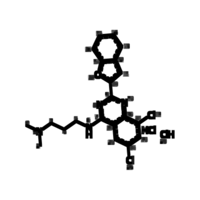 CN(C)CCCNc1nc(-c2cc3ccccc3o2)nc2c(Cl)cc(Cl)cc12.Cl.Cl